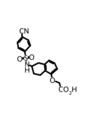 N#Cc1ccc(S(=O)(=O)NC2CCc3c(cccc3OCC(=O)O)C2)cc1